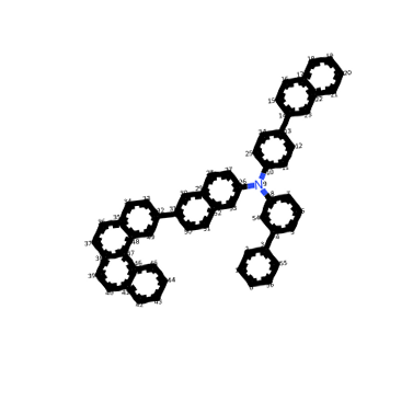 c1ccc(-c2cccc(N(c3ccc(-c4ccc5ccccc5c4)cc3)c3ccc4cc(-c5ccc6ccc7ccc8ccccc8c7c6c5)ccc4c3)c2)cc1